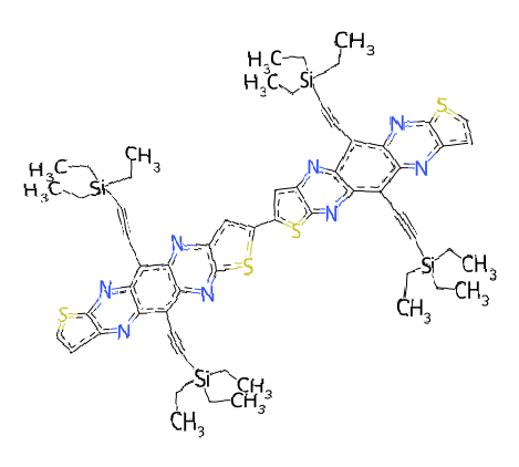 CC[Si](C#Cc1c2nc3cc(-c4cc5nc6c(C#C[Si](CC)(CC)CC)c7nc8sccc8nc7c(C#C[Si](CC)(CC)CC)c6nc5s4)sc3nc2c(C#C[Si](CC)(CC)CC)c2nc3ccsc3nc12)(CC)CC